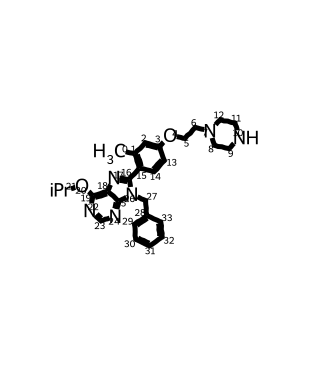 Cc1cc(OCCN2CCNCC2)ccc1-c1nc2c(OC(C)C)ncnc2n1Cc1ccccc1